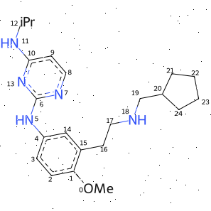 COc1ccc(Nc2nccc(NC(C)C)n2)cc1CCNCC1CCCC1